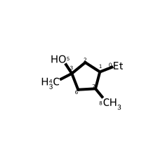 CCC1CC(C)(O)CC1C